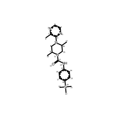 Cc1nccnc1N1CC(C)N(C(=O)Nc2ccc([Si](C)(C)C)cc2)CC1C